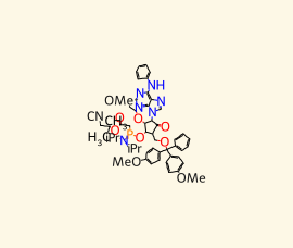 COCCOC1C(OP(CC(=O)OC(C)(C)CC#N)N(C(C)C)C(C)C)C(COC(c2ccccc2)(c2ccc(OC)cc2)c2ccc(OC)cc2)C(=O)C1n1cnc2c(Nc3ccccc3)ncnc21